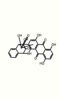 CC1C(=O)C(O)C2c3ccccc3C3Nc4c(cc(O)c5c4C(=O)c4c(O)ccc(O)c4C5=O)C2(O)C13O